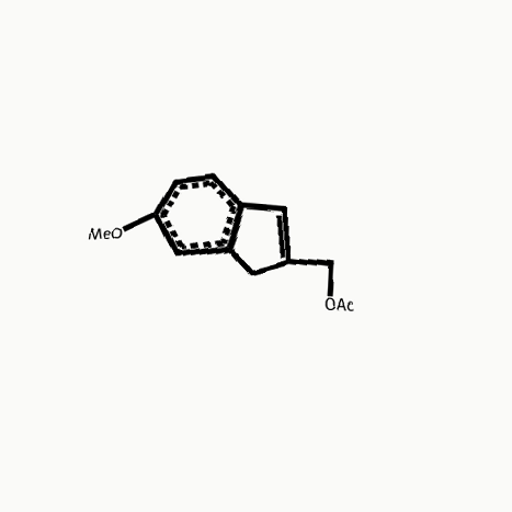 COc1ccc2c(c1)CC(COC(C)=O)=C2